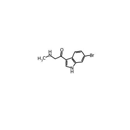 CNCC(=O)c1c[nH]c2cc(Br)ccc12